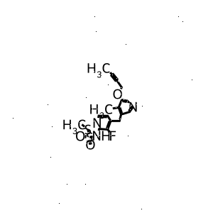 CC#CCOc1cncc(Cc2ccnc(NS(=O)(=O)SC)c2F)c1C